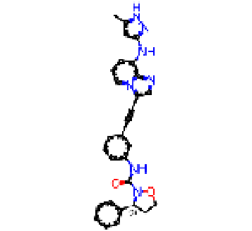 Cc1cc(Nc2cccn3c(C#Cc4cccc(NC(=O)N5OCC[C@H]5c5ccccc5)c4)cnc23)n[nH]1